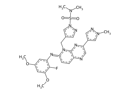 COc1cc(/N=c2\ccc3ncc(-c4cnn(C)c4)nc3n2Cc2cnn(S(=O)(=O)N(C)C)c2)c(F)c(OC)c1